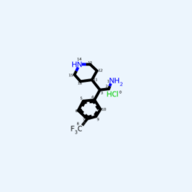 Cl.NCC(c1ccc(C(F)(F)F)cc1)C1CCNCC1